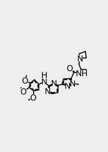 COc1cc(Nc2nccc(-c3cc(C(=O)NC(C)CN4CCC4)n(C)n3)n2)cc(OC)c1OC